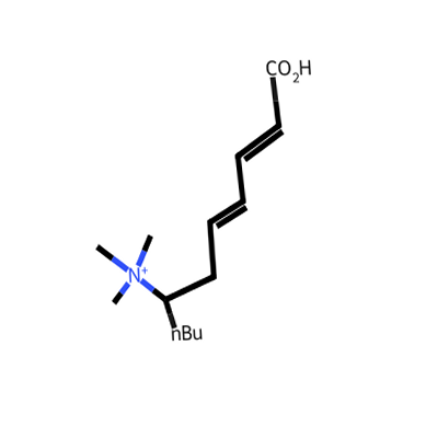 CCCCC(CC=CC=CC(=O)O)[N+](C)(C)C